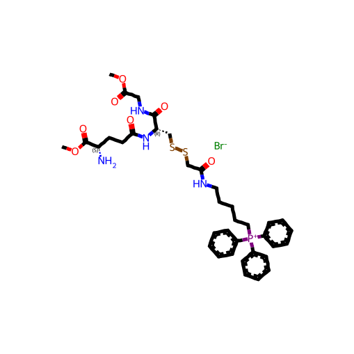 COC(=O)CNC(=O)[C@H](CSSCC(=O)NCCCCC[P+](c1ccccc1)(c1ccccc1)c1ccccc1)NC(=O)CC[C@H](N)C(=O)OC.[Br-]